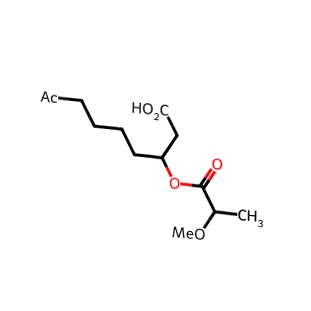 COC(C)C(=O)OC(CCCCC(C)=O)CC(=O)O